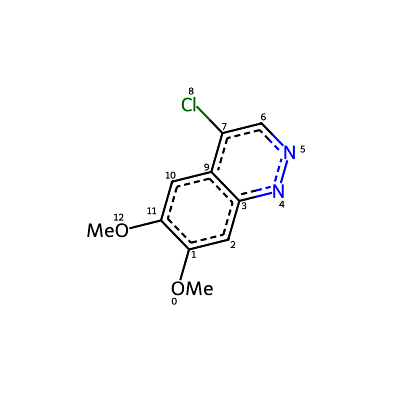 COc1cc2nncc(Cl)c2cc1OC